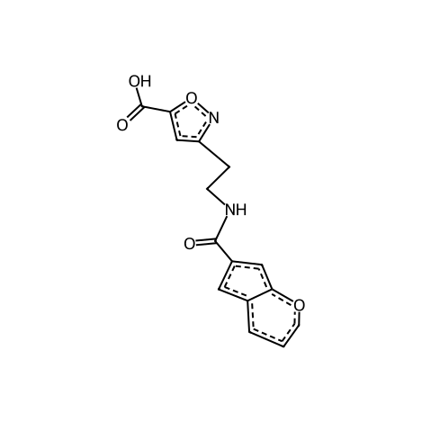 O=C(NCCc1cc(C(=O)O)on1)c1cc2cccoc-2c1